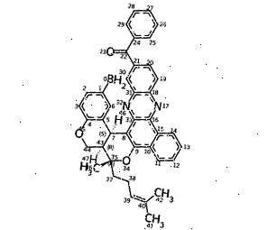 Bc1ccc2c(c1)[C@H]1c3c(c4ccccc4c4nc5ccc(C(=O)c6ccccc6)cc5nc34)O[C@](C)(CCC=C(C)C)[C@H]1CO2